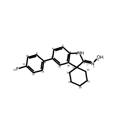 O/N=C1\Nc2ccc(-c3ccc(F)cc3)cc2C12CCCCC2